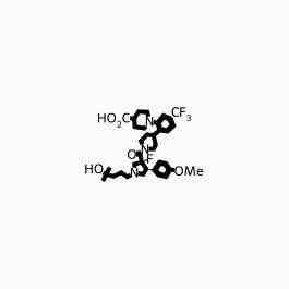 COc1ccc([C@@H]2CN(CCCC(C)(C)O)C[C@@]2(F)C(=O)N2CCC(c3ccc(C(F)(F)F)cc3N3CCC(C(=O)O)CC3)CC2)cc1